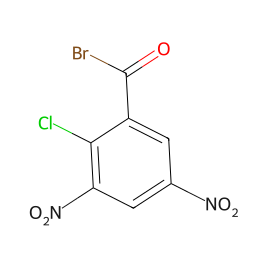 O=C(Br)c1cc([N+](=O)[O-])cc([N+](=O)[O-])c1Cl